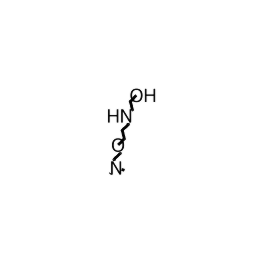 CN(C)CCOCCCNCCO